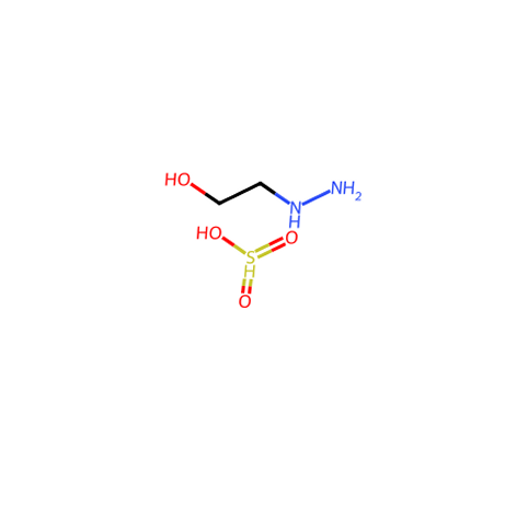 NNCCO.O=[SH](=O)O